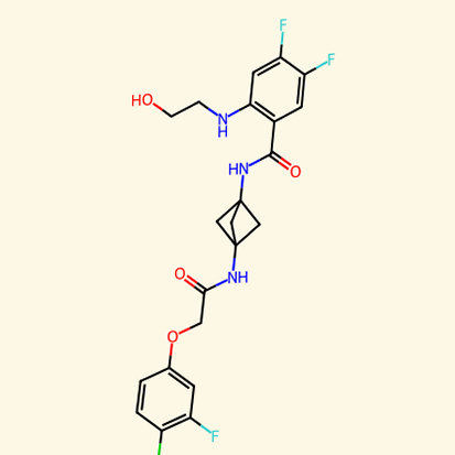 O=C(COc1ccc(Cl)c(F)c1)NC12CC(NC(=O)c3cc(F)c(F)cc3NCCO)(C1)C2